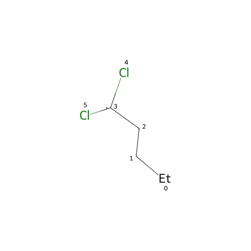 CCCC[C](Cl)Cl